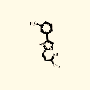 CC(=N)/C=C\c1ncc(-c2cccc(C)c2)[nH]1